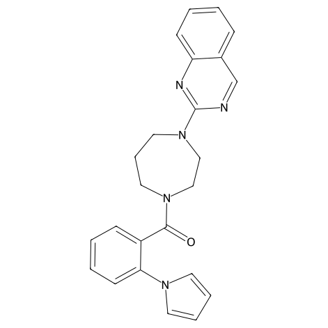 O=C(c1ccccc1-n1cccc1)N1CCCN(c2ncc3ccccc3n2)CC1